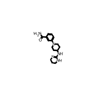 NC(=O)c1cccc(N2CCC(NC3=NCCCN3)CC2)c1